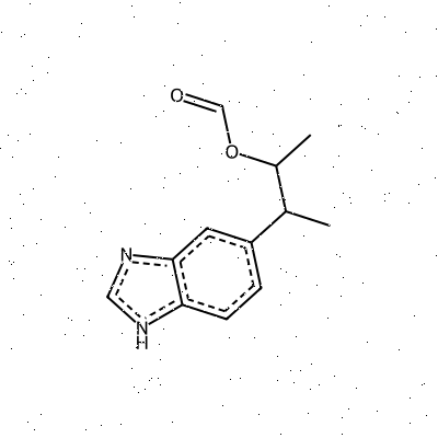 CC(OC=O)C(C)c1ccc2[nH]cnc2c1